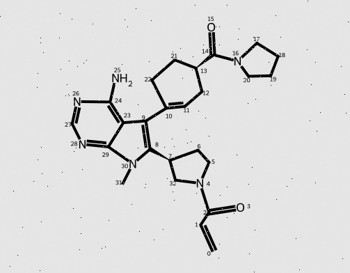 C=CC(=O)N1CC[C@H](c2c(C3=CC[C@H](C(=O)N4CCCC4)CC3)c3c(N)ncnc3n2C)C1